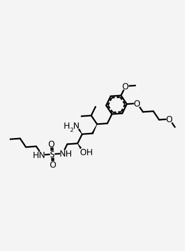 CCCCNS(=O)(=O)NC[C@H](O)[C@@H](N)C[C@H](Cc1ccc(OC)c(OCCCOC)c1)C(C)C